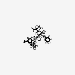 CCC1OCCn2c1nc(C(=O)NCc1ccc(F)cc1S(=O)(=O)N(C)C)c(OCc1ccccc1)c2=O